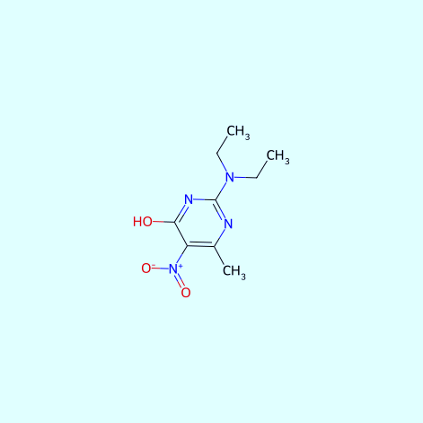 CCN(CC)c1nc(C)c([N+](=O)[O-])c(O)n1